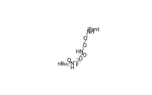 CCCCC(C)C(=O)NCC(F)C(C)(C)OCC(=O)NCCOCCOCCNC(C)CCC